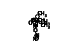 CC(C)CC(C)N(C(=O)C1CCC(C)CC1)c1nn(-c2ccc(-c3cc4ncccn4n3)cc2)cc1C(=O)O